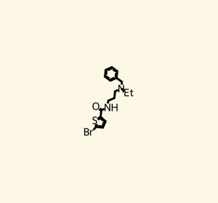 CCN(CCCNC(=O)c1ccc(Br)s1)Cc1ccccc1